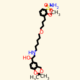 COc1c(CCCCOCCCCCCNC[C@H](O)c2ccc3c(c2)COC(C)(C)O3)cccc1S(N)(=O)=O